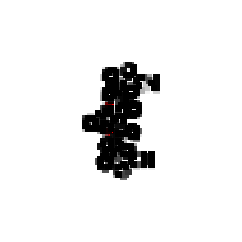 N#Cc1ccc(N(c2cc3c(c4ccccc24)-c2c(cc(N(c4ccc(C#N)cc4)c4cccc5c4oc4c(C6CCCCC6)cccc45)c4ccccc24)C32c3ccccc3-n3c4ccccc4c4cccc2c43)c2cccc3c2oc2c(C4CCCCC4)cccc23)cc1